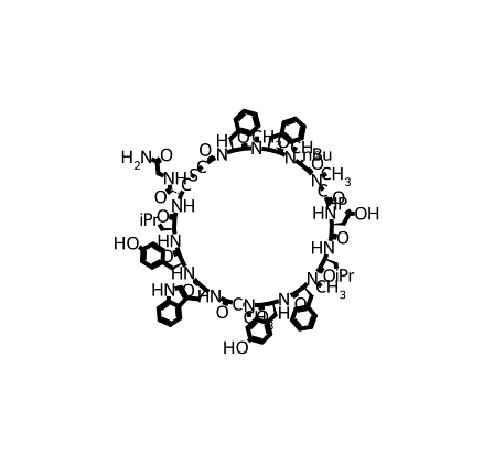 CCCC[C@H]1C(=O)N(C)CC(=O)N[C@@H](CC(O)=P)C(=O)N[C@@H](CC(C)C)C(=O)N(C)[C@@H](Cc2ccccc2)C(=O)N[C@@H](Cc2ccc(O)cc2)C(=O)N(C)CC(=O)N[C@@H](Cc2c[nH]c3ccccc23)C(=O)N[C@@H](Cc2ccc(O)cc2)C(=O)N[C@@H](CC(C)C)C(=O)N[C@H](C(=O)NCC(N)=O)CSCC(=O)N[C@@H](Cc2ccccc2)C(=O)N(C)[C@@H](Cc2ccccc2)C(=O)N1C